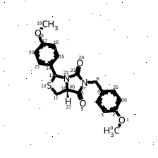 COc1ccc(CN2C(=O)[C@@H]3CSC(c4ccc(OC)cc4)N3C2=O)cc1